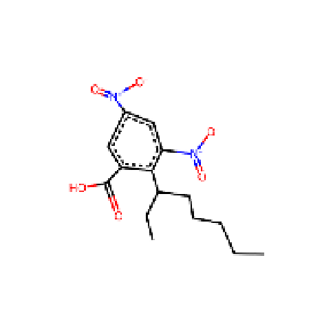 CCCCCC(CC)c1c(C(=O)O)cc([N+](=O)[O-])cc1[N+](=O)[O-]